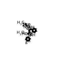 Cn1cnc(S(=O)(=O)NC2=CC3=C(O)N(c4ccc(F)cc4)NN3c3ccccc32)c1.O